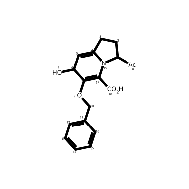 CC(=O)C1CCC2=CC(O)C(OCc3ccccc3)=C(C(=O)O)N21